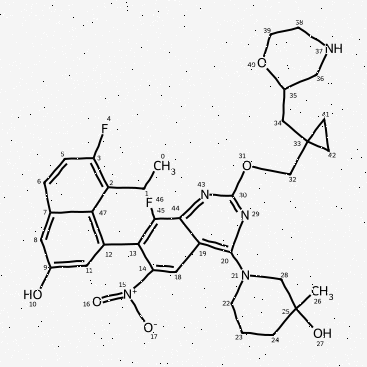 CCc1c(F)ccc2cc(O)cc(-c3c([N+](=O)[O-])cc4c(N5CCCC(C)(O)C5)nc(OCC5(CC6CNCCO6)CC5)nc4c3F)c12